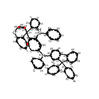 c1ccc(N(c2ccc3c(c2)[SiH](c2ccccc2)c2ccccc2C32c3ccccc3Oc3ccccc32)c2ccc3c(c2)C(c2ccccc2)(c2ccccc2)c2ccccc2-3)cc1